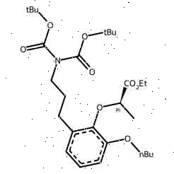 CCCCOc1cccc(CCCN(C(=O)OC(C)(C)C)C(=O)OC(C)(C)C)c1O[C@H](C)C(=O)OCC